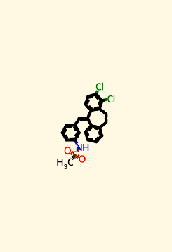 CS(=O)(=O)Nc1cccc(/C=C2\c3ccccc3CCc3c2ccc(Cl)c3Cl)c1